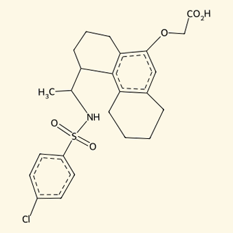 CC(NS(=O)(=O)c1ccc(Cl)cc1)C1CCCc2c(OCC(=O)O)cc3c(c21)CCCC3